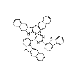 c1ccc2cc(-c3nc(-c4cccc5c4sc4ccccc45)nc(-c4c(-n5c6ccccc6c6cc7ccccc7cc65)ccc5oc6cc7ccccc7cc6c45)n3)ccc2c1